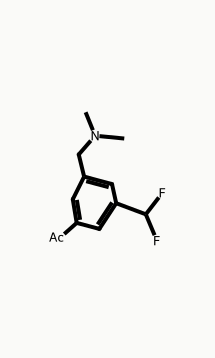 CC(=O)c1cc(CN(C)C)cc(C(F)F)c1